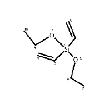 C=C[Si](C=C)(OCC)OCC